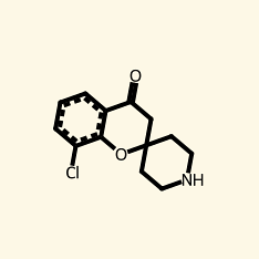 O=C1CC2(CCNCC2)Oc2c(Cl)cccc21